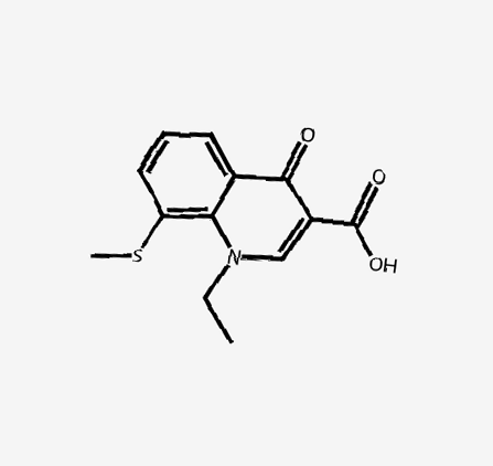 CCn1cc(C(=O)O)c(=O)c2cccc(SC)c21